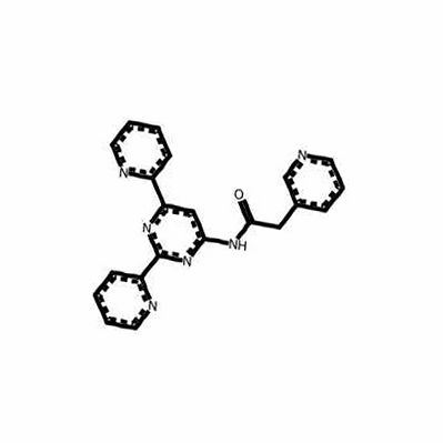 O=C(Cc1cccnc1)Nc1cc(-c2ccccn2)nc(-c2ccccn2)n1